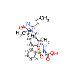 CCCC1=NC(=O)C(C)(C)N1Cc1ccc(-c2ccccc2S(=O)(=O)NC(=O)O)cc1C